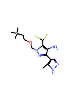 Cc1[nH]ncc1-c1nn(COCC[Si](C)(C)C)c(C(F)F)c1N